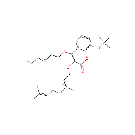 CCC=CCCOc1c(OC/C=C(\C)CCC=C(C)C)c(=O)oc2c(OC(C)(C)C)cccc12